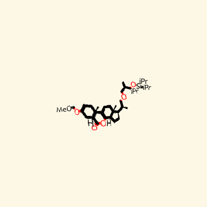 COCOC1CC[C@]2(C)C3=C(OC(=O)[C@H]2C1)[C@@H]1CC[C@H]([C@H](C)COCC(C)CO[Si](C(C)C)(C(C)C)C(C)C)[C@@]1(C)CC3